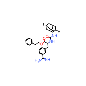 N=C(N)c1cccc(CC(NC(=O)NC2C3CC4C[C@H](C3)C[C@@H]2C4)C(=O)OCCc2ccccc2)c1